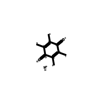 CC1=C(C)C(=O)C(C)=C(C)C1=O.[H+]